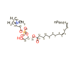 CCCCC/C=C\C/C=C\CCCCCCCC(=O)OC[C@H](CO)OP(=O)([O-])OCC[N+](C)(C)C